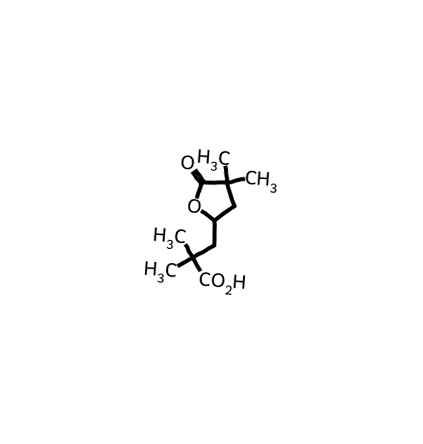 CC(C)(CC1CC(C)(C)C(=O)O1)C(=O)O